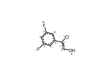 O/N=C(\Cl)c1cc(F)cc(F)c1